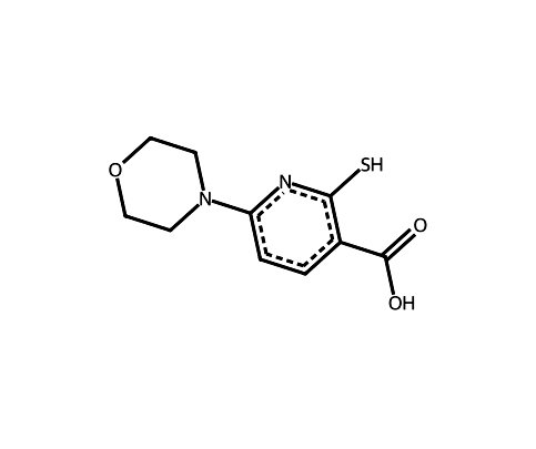 O=C(O)c1ccc(N2CCOCC2)nc1S